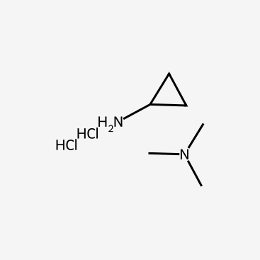 CN(C)C.Cl.Cl.NC1CC1